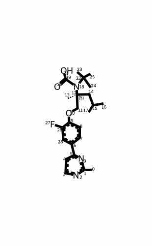 Cc1nccc(-c2ccc(OC[C@](C)(CC(C)C)N(C(=O)O)C(C)(C)C)c(F)c2)n1